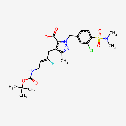 Cc1nn(Cc2ccc(S(=O)(=O)N(C)C)c(Cl)c2)c(C(=O)O)c1CC(F)=CCNC(=O)OC(C)(C)C